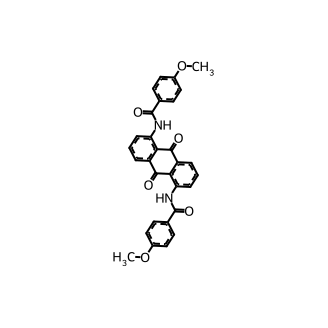 COc1ccc(C(=O)Nc2cccc3c2C(=O)c2cccc(NC(=O)c4ccc(OC)cc4)c2C3=O)cc1